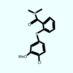 COc1cc(Sc2ccccc2C(=O)N(C)C)ccc1Cl